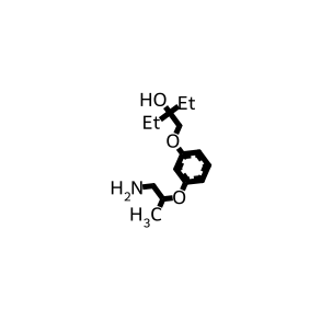 CCC(O)(CC)COc1cccc(OC(C)CN)c1